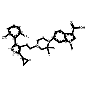 Cn1cc(C(=O)O)c2ccc(N3CCN(CCc4c(-c5c(Cl)cccc5Cl)noc4C4CC4)CC3(C)C)cc21